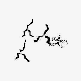 CCCP(CCC)CCC.CCCP(CCC)CCC.CCCP(CCC)CCC.O=C(O)P(=O)(O)O